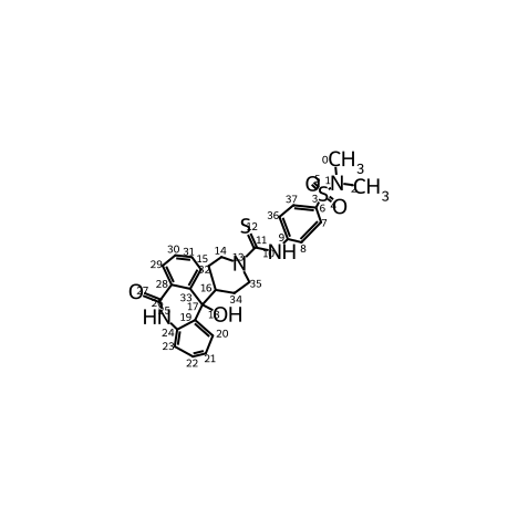 CN(C)S(=O)(=O)c1ccc(NC(=S)N2CCC(C3(O)c4ccccc4NC(=O)c4ccccc43)CC2)cc1